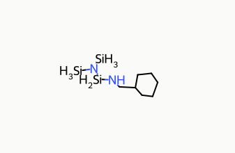 [SiH3]N([SiH3])[SiH2]NCC1CCCCC1